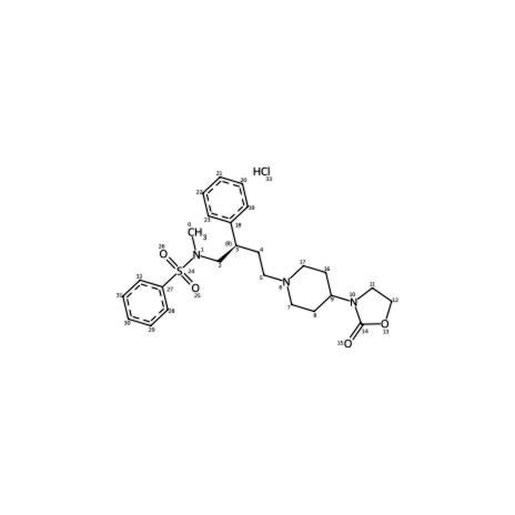 CN(C[C@H](CCN1CCC(N2CCOC2=O)CC1)c1ccccc1)S(=O)(=O)c1ccccc1.Cl